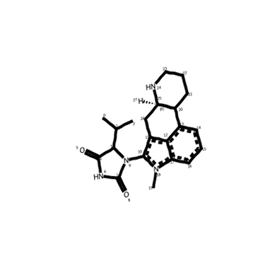 CC(C)C1C(=O)NC(=O)N1c1c2c3c(cccc3n1C)C1CCCN[C@@H]1C2